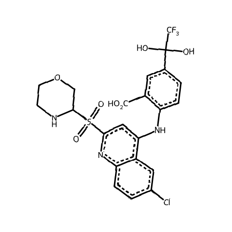 O=C(O)c1cc(C(O)(O)C(F)(F)F)ccc1Nc1cc(S(=O)(=O)C2COCCN2)nc2ccc(Cl)cc12